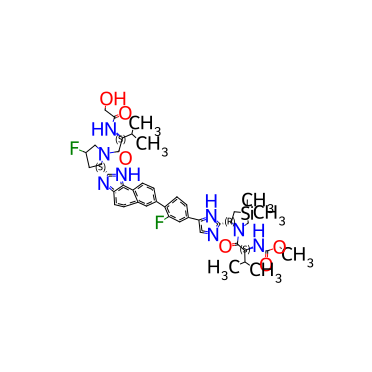 COC(=O)N[C@H](C(=O)N1C[Si](C)(C)C[C@H]1c1ncc(-c2ccc(-c3ccc4c(ccc5nc([C@@H]6CC(F)CN6C(=O)[C@@H](NC(=O)CO)C(C)C)[nH]c54)c3)c(F)c2)[nH]1)C(C)C